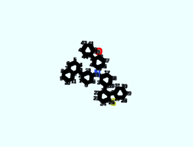 c1cc(-c2cccc3ccccc23)cc(N(c2cccc(-c3cccc4sc5ccccc5c34)c2)c2ccc3oc4ccccc4c3c2)c1